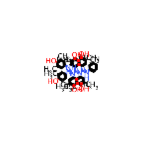 Cc1cc(NN(c2cc(C)c(O)c(C)c2)N(c2cc(C)c(O)c(C)c2)N(c2cc(C)c(O)c(C)c2)N(c2cc(C)c(O)c(C)c2)N(Nc2cccc(C#N)c2)c2cc(C)c(O)c(C)c2)cc(C)c1O